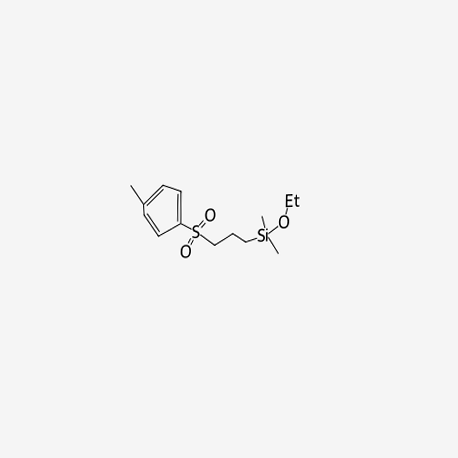 CCO[Si](C)(C)CCCS(=O)(=O)c1ccc(C)cc1